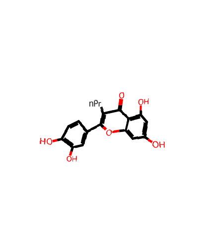 CCCc1c(-c2ccc(O)c(O)c2)oc2cc(O)cc(O)c2c1=O